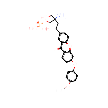 NC(CO)(CCc1ccc2oc3cc(Oc4ccc(OC(F)(F)F)cc4)ccc3c(=O)c2c1)COP(=O)(O)O